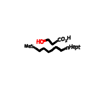 CCCCCCCCCCCCSC.O=C(O)CCO